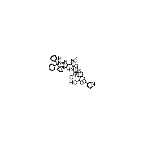 CO/N=C(\C(=O)N[C@@H]1C(=O)N2C(C(=O)O)=C(COc3cccnc3)CS[C@H]12)c1csc(NC(c2ccccc2)(c2ccccc2)c2ccccc2)n1